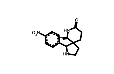 O=C1CCC2(CCNC2c2ccc([N+](=O)[O-])cc2)C(=O)N1